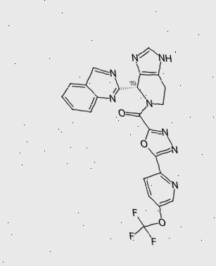 O=C(c1nnc(-c2ccc(OC(F)(F)F)cn2)o1)N1CCc2[nH]cnc2[C@H]1c1ncc2ccccc2n1